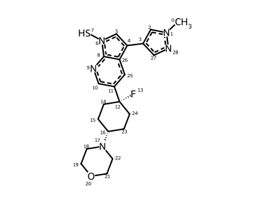 Cn1cc(-c2cn(S)c3ncc([C@]4(F)CC[C@@H](N5CCOCC5)CC4)cc23)cn1